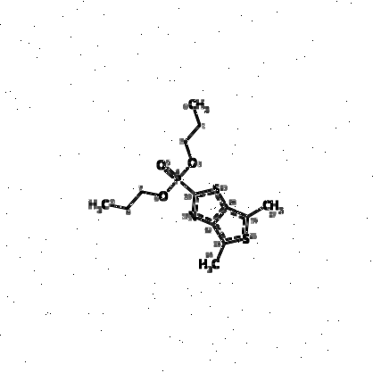 CCCOP(=O)(OCCC)c1nc2c(C)sc(C)c2s1